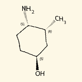 C[C@@H]1C[C@@H](O)CC[C@@H]1N